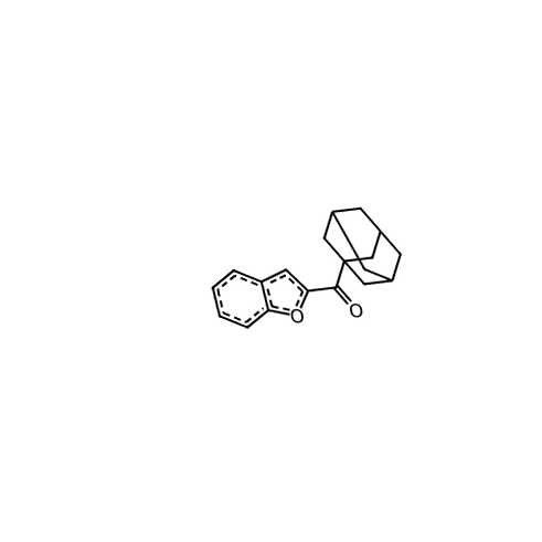 O=C(c1cc2ccccc2o1)C12CC3CC(CC(C3)C1)C2